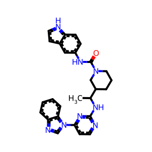 CC(Nc1nccc(-n2cnc3ccccc32)n1)C1CCCN(C(=O)Nc2ccc3[nH]ccc3c2)C1